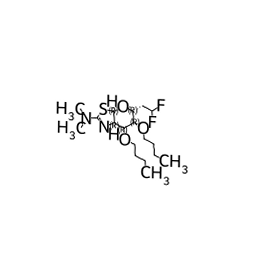 CCCCO[C@@H]1[C@H]2N=C(N(C)C)S[C@H]2O[C@H](CC(F)F)[C@H]1OCCCC